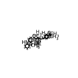 CO[C@H]1CCCC[C@H]1NC1CCN(C(=O)c2nc(C(F)(F)F)nc(OCc3ccc(C(C)(C)C)cc3)c2C)CC1